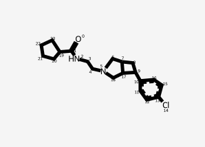 O=C(NCCN1CC2CC(c3ccc(Cl)cc3)C2C1)C1CCCC1